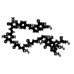 CO[C@]12NC(C)CN1C1=C(C(=O)C(NCCSSCCC(=O)N/N=C(\C)CCC(=O)NCC(NC(=O)CCC(NC(=O)c3ccc(NCc4cnc5nc(N)[nH]c(=O)c5n4)cc3)C(=O)O)C(=O)O)=C(C)C1=O)[C@H]2COC(N)=O